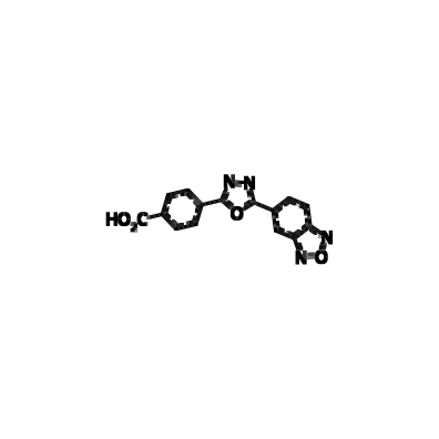 O=C(O)c1ccc(-c2nnc(-c3ccc4nonc4c3)o2)cc1